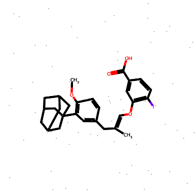 COc1ccc(CC(C)=COc2cc(C(=O)O)ccc2I)cc1C12CC3CC(CC(C3)C1)C2